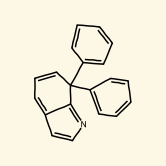 C1=CC(c2ccccc2)(c2ccccc2)C2=NC=CC2=C1